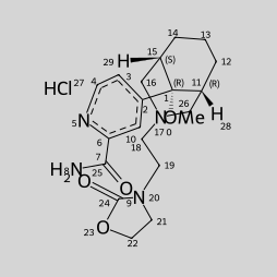 CO[C@@]1(c2ccnc(C(N)=O)c2)[C@@H]2CCC[C@H]1CN(CCN1CCOC1=O)C2.Cl